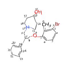 Cc1c(Br)cccc1OCC(CN1CCC(O)CC1)c1ccccc1